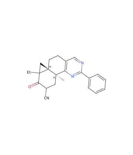 CCC12C[C@]13CCc1cnc(-c4ccccc4)nc1[C@@]3(C)CC(C#N)C2=O